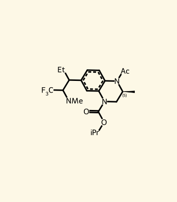 CCC(c1ccc2c(c1)N(C(=O)OC(C)C)C[C@H](C)N2C(C)=O)C(NC)C(F)(F)F